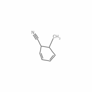 CC1C=CC=CC1C#N